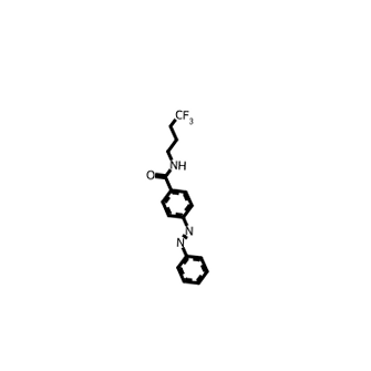 O=C(NCCCC(F)(F)F)c1ccc(/N=N/c2ccccc2)cc1